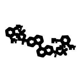 CC(C)c1cccc(C(C)C)c1[N+]1=C[C@](C)(c2ccc3c(-c4cccc5cc([C@]6(C)C=[N+](c7c(C(C)C)cccc7C(C)C)C(C)(C)C6)ccc45)cccc3c2)CC1(C)C